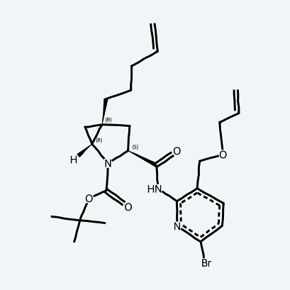 C=CCCC[C@@]12C[C@@H](C(=O)Nc3nc(Br)ccc3COCC=C)N(C(=O)OC(C)(C)C)[C@@H]1C2